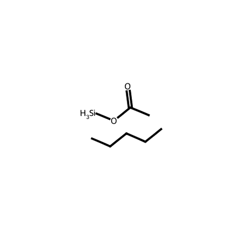 CC(=O)O[SiH3].CCCCC